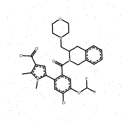 Cc1c(C(=O)Cl)cc(-c2cc(Cl)c(OC(F)F)cc2C(=O)N2Cc3ccccc3CC2CN2CCOCC2)n1C